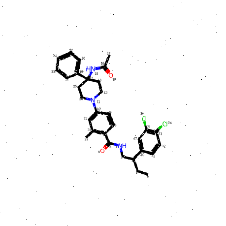 CCC(CNC(=O)c1ccc(N2CCC(NC(C)=O)(c3ccccc3)CC2)cc1C)c1ccc(Cl)c(Cl)c1